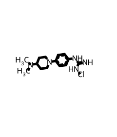 CN(C)C1CCN(c2ccc(NC(=N)NCl)cc2)CC1